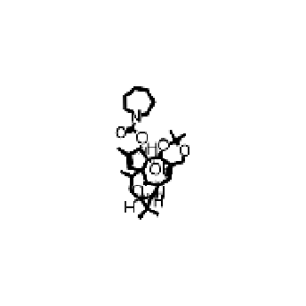 CC1=CC23C(=O)[C@@H](C=C4COC(C)(C)O[C@H]4[C@]2(O)[C@H]1OC(=O)N1CCCCCC1)[C@@H]1[C@@H](CC3C)C1(C)C